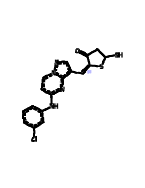 O=C1CC(S)S/C1=C/c1cnn2ccc(Nc3cccc(Cl)c3)nc12